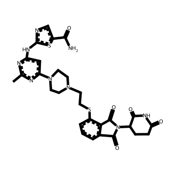 Cc1nc(Nc2ncc(C(N)=O)s2)cc(N2CCN(CCSc3cccc4c3C(=O)N(C3CCC(=O)NC3=O)C4=O)CC2)n1